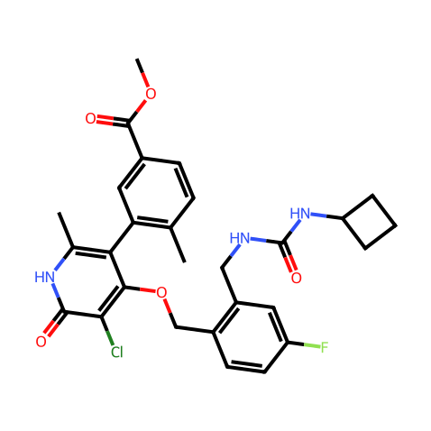 COC(=O)c1ccc(C)c(-c2c(C)[nH]c(=O)c(Cl)c2OCc2ccc(F)cc2CNC(=O)NC2CCC2)c1